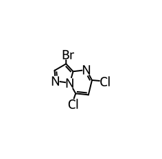 Clc1cc(Cl)n2ncc(Br)c2n1